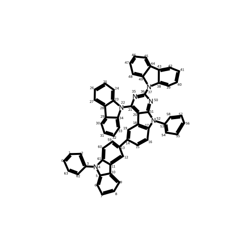 c1ccc(-n2c3ccccc3c3cc(-c4ccc5c(c4)c4c(-n6c7ccccc7c7ccccc76)nc(-n6c7ccccc7c7ccccc76)nc4n5-c4ccccc4)ccc32)cc1